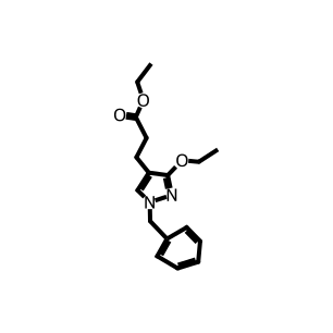 CCOC(=O)CCc1cn(Cc2ccccc2)nc1OCC